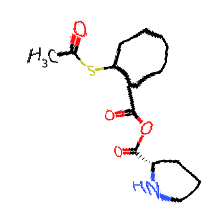 CC(=O)SC1CCCCC1C(=O)OC(=O)[C@@H]1CCCN1